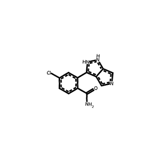 NC(=O)c1ccc(Cl)cc1-c1[nH][nH]c2cncc1-2